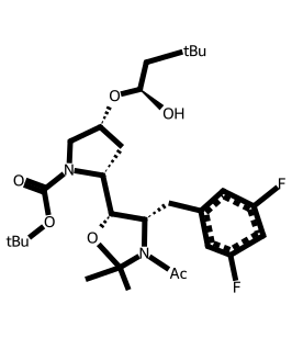 CC(=O)N1[C@@H](Cc2cc(F)cc(F)c2)[C@@H]([C@H]2C[C@@H](O[C@H](O)CC(C)(C)C)CN2C(=O)OC(C)(C)C)OC1(C)C